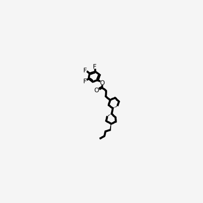 CCCC[C@H]1CC[C@H]([C@H]2CCCC(CCC(=O)Oc3cc(F)c(F)c(F)c3)C2)CC1